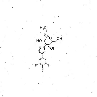 CCS[C@H]1OC(CO)[C@H](O)C(n2cc(-c3cc(F)c(F)c(F)c3)nn2)C1O